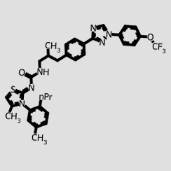 CCCc1ccc(C)cc1-n1c(C)cs/c1=N\C(=O)NCC(C)Cc1ccc(-c2ncn(-c3ccc(OC(F)(F)F)cc3)n2)cc1